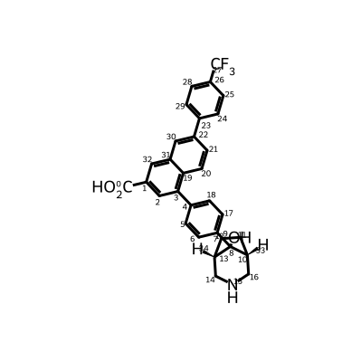 O=C(O)c1cc(-c2ccc(C3(O)[C@@H]4CC[C@H]3CNC4)cc2)c2ccc(-c3ccc(C(F)(F)F)cc3)cc2c1